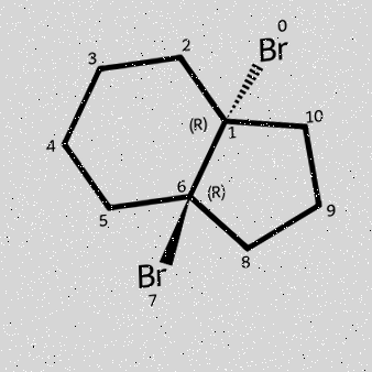 Br[C@@]12CCCC[C@@]1(Br)CCC2